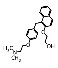 CN(C)CCOc1ccc(Cc2c(OCCO)ccc3ccccc23)cc1